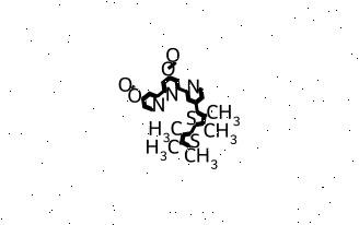 Cc1sc(-c2sc(-c3ccnc(-c4cc(OC=O)cc(-c5cc(OC=O)ccn5)n4)c3)c(C)c2C)c(C)c1C